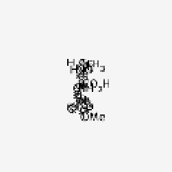 COc1ccc2c(c1)OCCn1c-2c(C2CCCCC2)c2ccc(C(=O)N[C@@H](Cc3ccc(NC(=O)N(C)C)cc3)C(=O)O)cc21